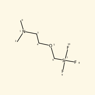 CN(C)CCOC[Si](F)(F)F